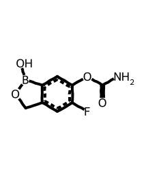 NC(=O)Oc1cc2c(cc1F)COB2O